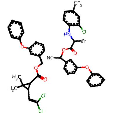 CC(C)C(Nc1ccc(C(F)(F)F)cc1Cl)C(=O)OC(C#N)c1cccc(Oc2ccccc2)c1.CC1(C)C(C=C(Cl)Cl)C1C(=O)OCc1cccc(Oc2ccccc2)c1